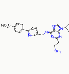 NCCc1nc(NCc2ccc(-c3ccc(C(=O)O)cc3)nc2)c2ncn(C3CCCC3)c2n1